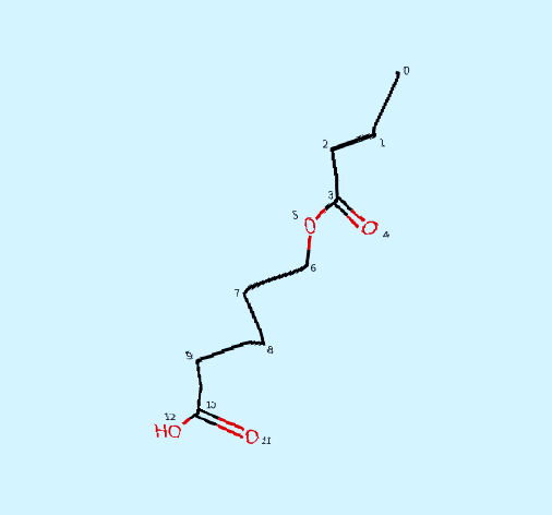 CCCC(=O)OCCCCC(=O)O